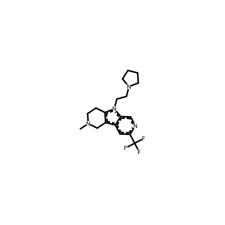 CN1CCc2c(c3cc(C(F)(F)F)ncc3n2CCN2CCCC2)C1